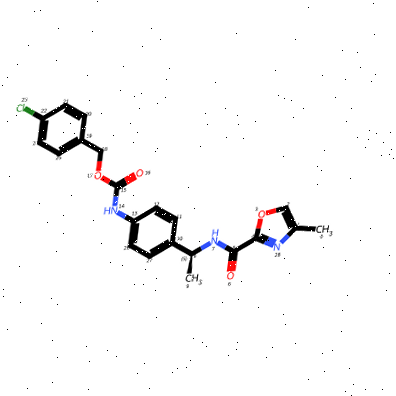 Cc1coc(C(=O)N[C@@H](C)c2ccc(NC(=O)OCc3ccc(Cl)cc3)cc2)n1